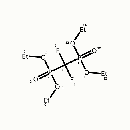 CCOP(=O)(OCC)C(F)(F)P(=O)(OCC)OCC